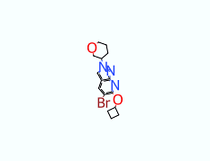 Brc1cc2cn(C3CCCOC3)nc2nc1OC1CCC1